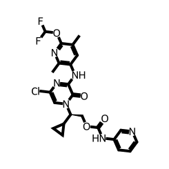 Cc1cc(Nc2nc(Cl)cn([C@@H](COC(=O)Nc3cccnc3)C3CC3)c2=O)c(C)nc1OC(F)F